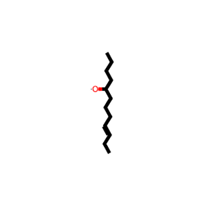 CCC=CCCCC([O])CCCC